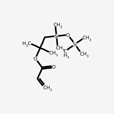 C=CC(=O)OC(C)(C)C[Si](C)(C)O[Si](C)(C)C